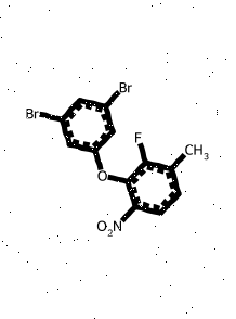 Cc1ccc([N+](=O)[O-])c(Oc2cc(Br)cc(Br)c2)c1F